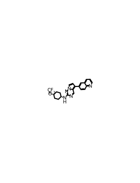 FC(F)(F)O[C@H]1CC[C@@H](Nc2ncc3c(-c4ccc5ncccc5c4)ccn3n2)CC1